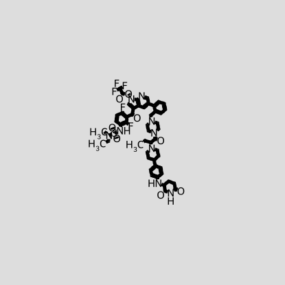 CCC(C(=O)N1CCN(Cc2ccccc2-c2cnc3c(c2)c(C(=O)c2c(F)ccc(NS(=O)(=O)N(C)CC)c2F)cn3OC(=O)C(F)(F)F)CC1)N1CCC(c2ccc(NC3CCC(=O)NC3=O)cc2)CC1